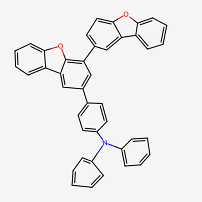 c1ccc(N(c2ccccc2)c2ccc(-c3cc(-c4ccc5oc6ccccc6c5c4)c4oc5ccccc5c4c3)cc2)cc1